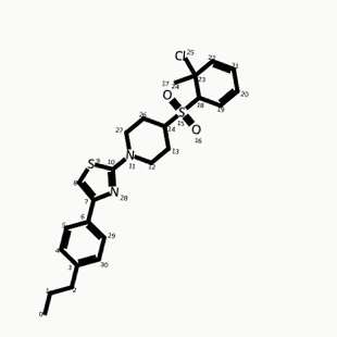 CCCc1ccc(-c2csc(N3CCC(S(=O)(=O)C4C=CC=CC4(C)Cl)CC3)n2)cc1